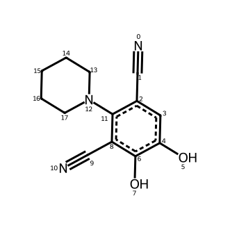 N#Cc1cc(O)c(O)c(C#N)c1N1CCCCC1